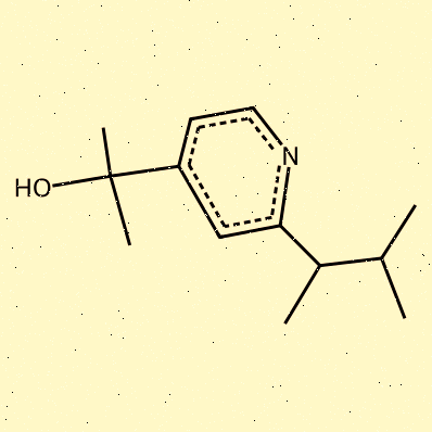 CC(C)C(C)c1cc(C(C)(C)O)ccn1